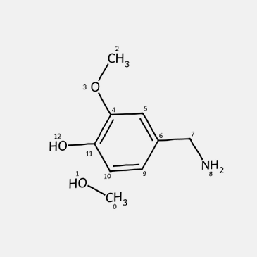 CO.COc1cc(CN)ccc1O